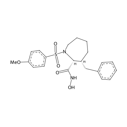 COc1ccc(S(=O)(=O)N2CCCC[C@H](Cc3ccccc3)[C@@H]2C(=O)NO)cc1